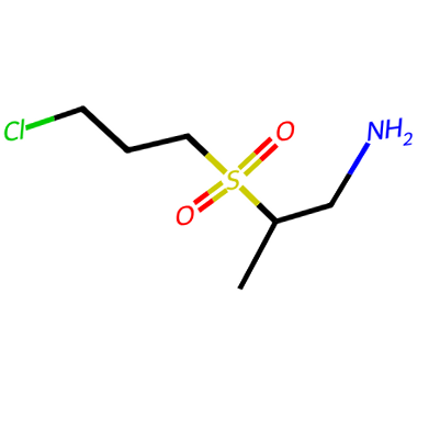 CC(CN)S(=O)(=O)CCCCl